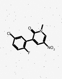 Cn1cc([N+](=O)[O-])cc(-c2cc(Cl)ccc2F)c1=O